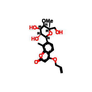 C=CCOc1cc(=O)oc2c(C)c([C@@H]3O[C@](C)(CO)[C@H](OC)[C@H](O)[C@H]3O)ccc12